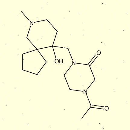 CC(=O)N1CCN(CC2(O)CCN(C)CC23CCCC3)C(=O)C1